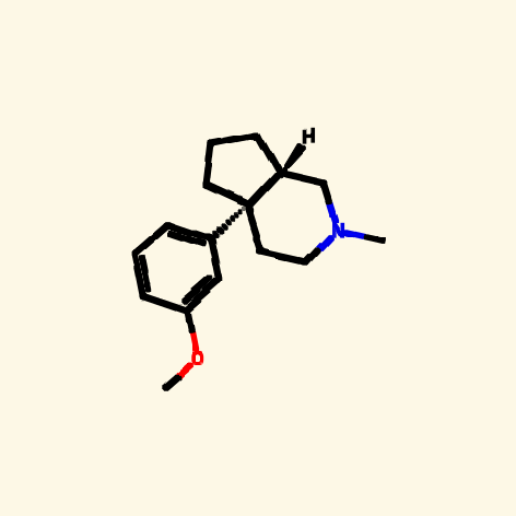 COc1cccc([C@]23CCC[C@@H]2CN(C)CC3)c1